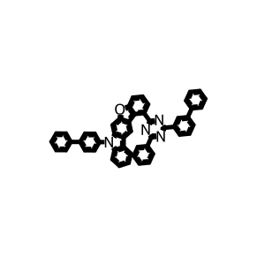 c1ccc(-c2ccc(-n3c4ccccc4c4cc5c(cc43)oc3cccc(-c4nc(-c6ccccc6)nc(-c6cccc(-c7ccccc7)c6)n4)c35)cc2)cc1